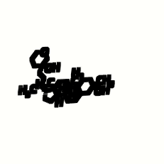 C[C@H](CCC1(O)CCCOC1)[C@H]1CC[C@H]2[C@@H]3CC=C4C[C@@](C)(O)CC[C@]4(C)[C@H]3CC[C@]12C